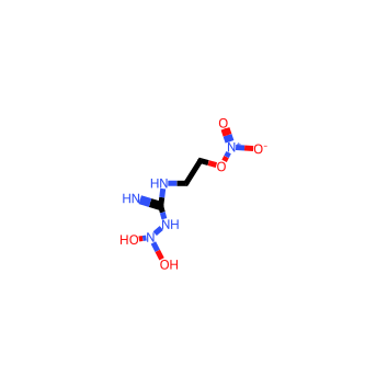 N=C(NCCO[N+](=O)[O-])NN(O)O